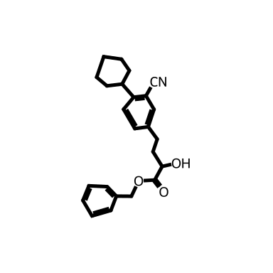 N#Cc1cc(CCC(O)C(=O)OCc2ccccc2)ccc1C1CCCCC1